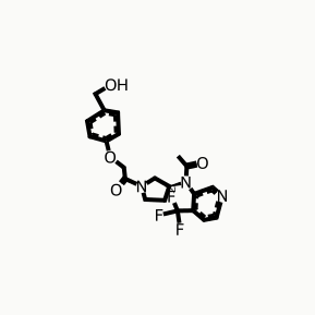 CC(=O)N(c1cnccc1C(F)(F)F)[C@H]1CCN(C(=O)COc2ccc(CO)cc2)C1